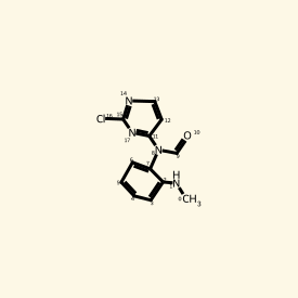 CNc1ccccc1N(C=O)c1ccnc(Cl)n1